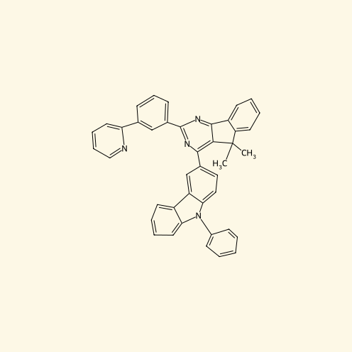 CC1(C)c2ccccc2-c2nc(-c3cccc(-c4ccccn4)c3)nc(-c3ccc4c(c3)c3ccccc3n4-c3ccccc3)c21